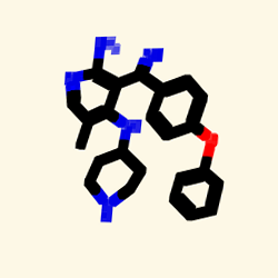 Cc1cnc(N)c(C(=N)c2ccc(Oc3ccccc3)cc2)c1NC1CCNCC1